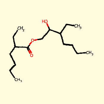 CCCCC(CC)C(=O)OCC(O)C(CC)CCCC